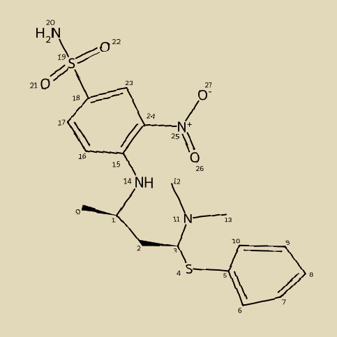 C[C@H](C[C@H](Sc1ccccc1)N(C)C)Nc1ccc(S(N)(=O)=O)cc1[N+](=O)[O-]